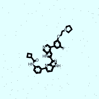 O=C(Nc1cccc(-c2ccc3[nH]nc(-c4cc5c(-c6cc(F)cc(OCCN7CCCC7)c6)cncc5[nH]4)c3n2)c1)C1CCC1